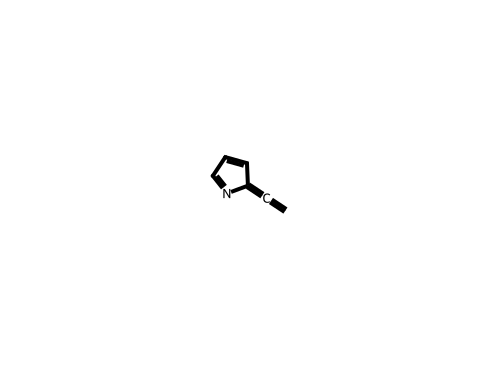 C=C=C1C=CC=N1